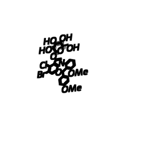 COc1ccc(C(=O)c2ccccc2-n2cc(O[C@H]3O[C@H](CO)[C@H](O)[C@H](O)[C@H]3O)c3c(Cl)c(Br)ccc32)c(OC)c1